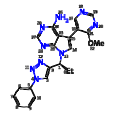 CC[C@@H](c1cn(-c2ccccc2)nn1)n1cc(-c2cncnc2OC)c2c(N)ncnc21